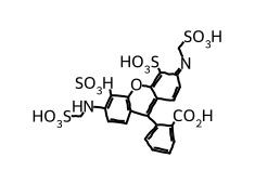 O=C(O)c1ccccc1-c1c2cc/c(=N/CS(=O)(=O)O)c(S(=O)(=O)O)c-2oc2c(S(=O)(=O)O)c(NCS(=O)(=O)O)ccc12